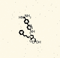 N=C(N)c1ccc(-c2ccc(NC[C@@H]3C[C@@H](CC(=O)O)C(=O)N3CCCc3ccccc3)nn2)cc1